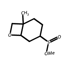 COS(=O)C1CCC2(C)COC2C1